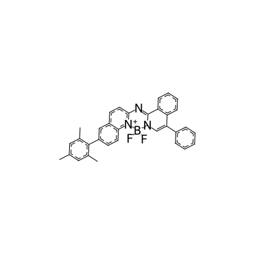 Cc1cc(C)c(-c2ccc3c(ccc4[n+]3[B-](F)(F)N3C=C(c5ccccc5)c5ccccc5C3=N4)c2)c(C)c1